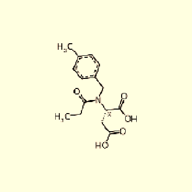 CCC(=O)N(Cc1ccc(C)cc1)[C@@H](CC(=O)O)C(=O)O